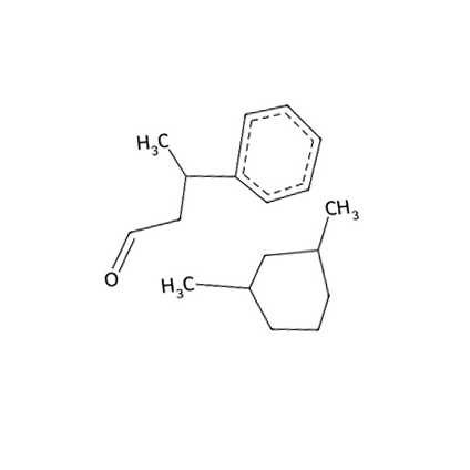 CC(CC=O)c1ccccc1.CC1CCCC(C)C1